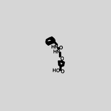 O=C(NCCOc1ccc(C(=O)O)cc1)NCC1C2CC3CC(C2)CC1C3